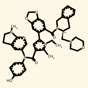 CCn1c(-c2cc3c(cc2C(=O)N2Cc4ccccc4C[C@H]2CN2CCOCC2)OCO3)cc(C(=O)N(c2ccc(O)cc2)c2cnc3c(c2)CCN3C)c1C